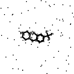 Nc1cc(C(F)(F)F)ccc1CN1CCNCC1